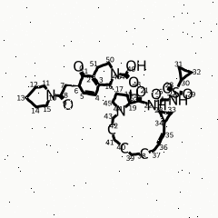 O=C1C2=C(C=C[C@H]1CC(=O)N1CCCCC1)C([C@@H]1C[C@H]3C(=O)N[C@]4(C(=O)NS(=O)(=O)C5CC5)CC4/C=C\CCCCCCCN3C1)N(C(=O)O)CC2